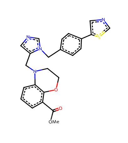 COC(=O)c1cccc2c1OCCN2Cc1cncn1Cc1ccc(-c2cncs2)cc1